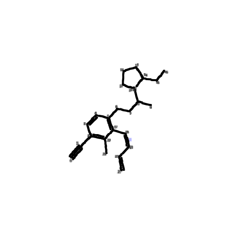 C#Cc1ccc(CCC(C)N2CCCC2CC)c(/C=C\C=C)c1C